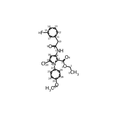 CCOC(=O)c1c(NC(=O)Cc2cccc(F)c2)cc(Cl)n1-c1ccc(OC)cc1